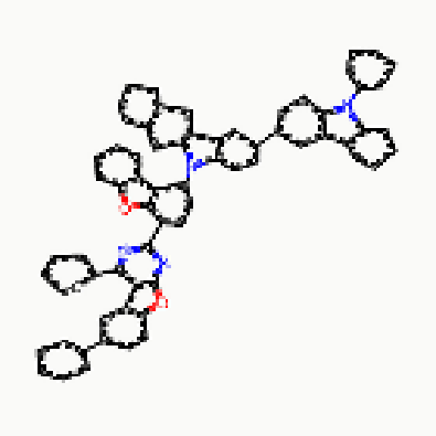 c1ccc(-c2ccc3oc4nc(-c5ccc(-n6c7ccc(-c8ccc9c(c8)c8ccccc8n9-c8ccccc8)cc7c7cc8ccccc8cc76)c6c5oc5ccccc56)nc(-c5ccccc5)c4c3c2)cc1